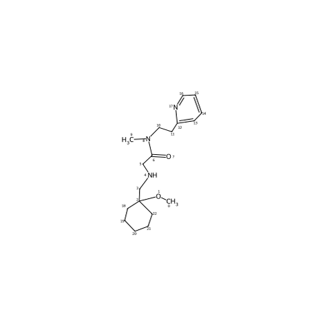 COC1(CNCC(=O)N(C)CCc2ccccn2)CCCCC1